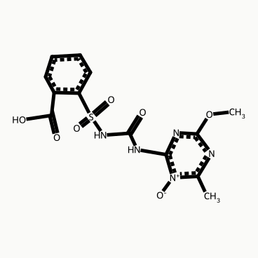 COc1nc(C)[n+]([O-])c(NC(=O)NS(=O)(=O)c2ccccc2C(=O)O)n1